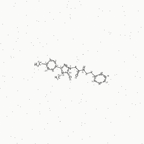 Cc1ccc(-c2nn(CC(=O)NCCc3ccccc3)c(=O)n2C)cc1